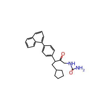 NC(=O)NCC(=O)C(CC1CCCC1)c1ccc(-c2cccc3ccccc23)cc1